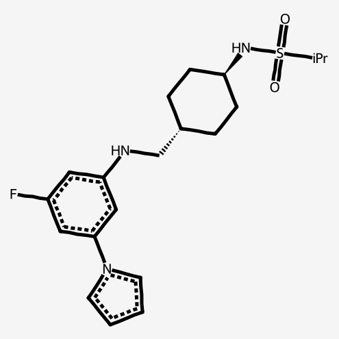 CC(C)S(=O)(=O)N[C@H]1CC[C@H](CNc2cc(F)cc(-n3cccc3)c2)CC1